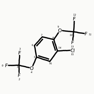 FC(F)(F)Oc1ccc(OC(F)(F)F)c(Cl)c1